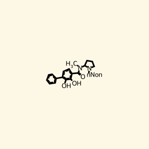 CCCCCCCCCN1CCCC1N(C)C(=O)c1ccc(-c2ccccc2)c(O)c1O